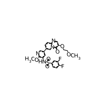 COCCOc1cnc2ccc(-c3cnc(OC)c(NS(=O)(=O)c4ccc(F)c(F)c4)c3)cn2c1=O